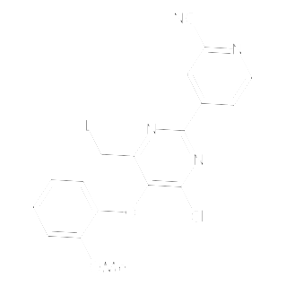 COc1ccccc1Oc1c(Cl)nc(-c2ccnc(C#N)c2)nc1CI